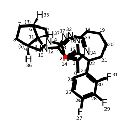 Cc1cc(N2C[C@H]3CC[C@@H](C2)[C@H]3Nc2nc3n(n2)CCCCC3c2ccc(F)c(F)c2F)ncn1